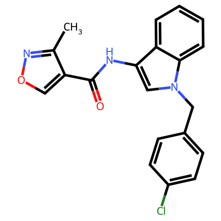 Cc1nocc1C(=O)Nc1cn(Cc2ccc(Cl)cc2)c2ccccc12